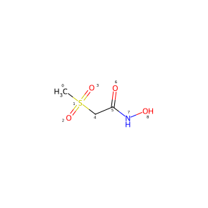 CS(=O)(=O)CC(=O)NO